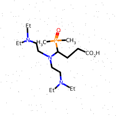 CCN(CC)CCN(CCN(CC)CC)C(CCC(=O)O)P(C)(C)=O